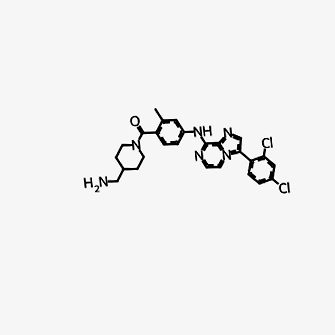 Cc1cc(Nc2nccn3c(-c4ccc(Cl)cc4Cl)cnc23)ccc1C(=O)N1CCC(CN)CC1